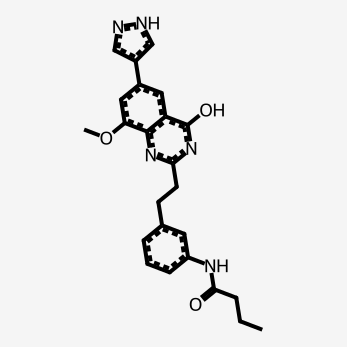 CCCC(=O)Nc1cccc(CCc2nc(O)c3cc(-c4cn[nH]c4)cc(OC)c3n2)c1